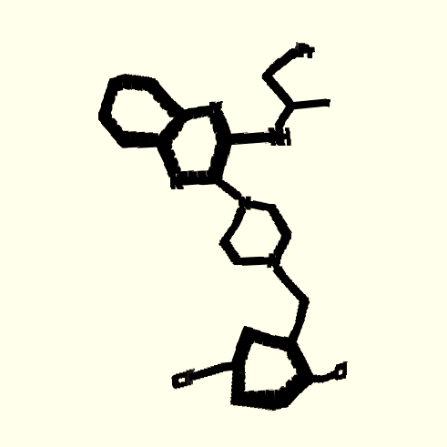 CC(C)CC(C)Nc1nc2ccccc2nc1N1CCN(Cc2cc(Cl)ccc2Cl)CC1